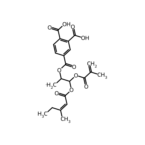 [CH2]C(OC(=O)c1ccc(C(=O)O)c(C(=O)O)c1)C(OC(=O)C=C(C)CC)OC(=O)C(=C)C